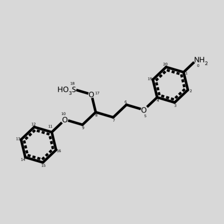 Nc1ccc(OCCC(COc2ccccc2)OS(=O)(=O)O)cc1